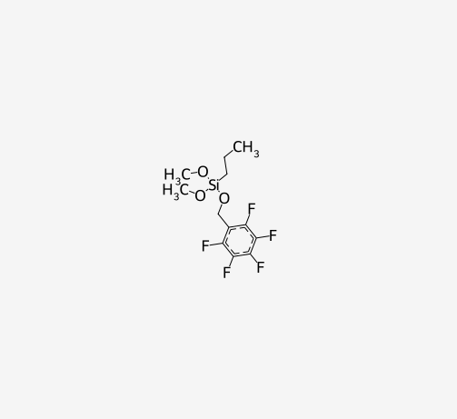 CCC[Si](OC)(OC)OCc1c(F)c(F)c(F)c(F)c1F